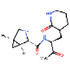 COC(=O)[C@H](C[C@@H]1CCCNC1=O)NC(=O)[C@H]1NC[C@@H]2C[C@@H]21